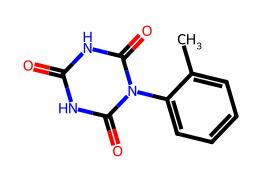 Cc1ccccc1-n1c(=O)[nH]c(=O)[nH]c1=O